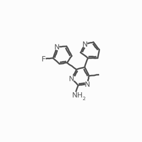 Cc1nc(N)nc(-c2ccnc(F)c2)c1-c1cccnc1